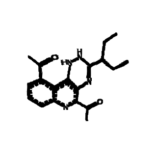 CCC(CC)C1=Nc2c(C(C)=O)nc3cccc(C(C)=O)c3c2NN1